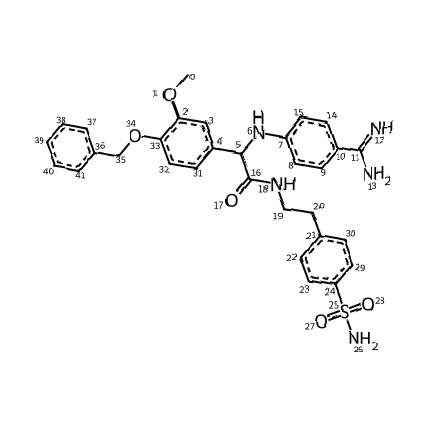 COc1cc(C(Nc2ccc(C(=N)N)cc2)C(=O)NCCc2ccc(S(N)(=O)=O)cc2)ccc1OCc1ccccc1